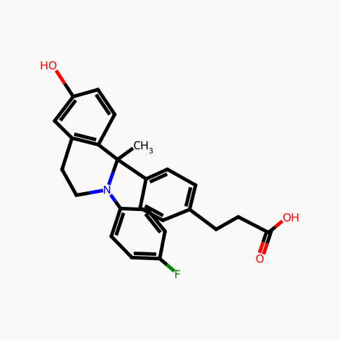 CC1(c2ccc(CCC(=O)O)cc2)c2ccc(O)cc2CCN1c1ccc(F)cc1